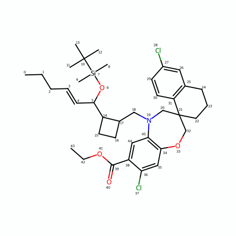 CCC/C=C/C(O[Si](C)(C)C(C)(C)C)C1CCC1CN1CC2(CCCc3cc(Cl)ccc32)COc2cc(Cl)c(C(=O)OCC)cc21